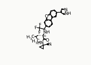 CC(C)C[C@H](N[C@@H](c1ccc2c(c1)oc1ccc(-c3cn[nH]c3)cc12)C(F)(F)F)C(=O)NC1(C#N)CC1